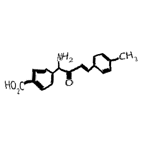 Cc1ccc(C=CC(=O)C(N)c2ccc(C(=O)O)cc2)cc1